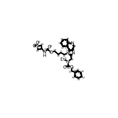 CCN(Cc1nc2cnc3ccccc3c2n1CCCCOC(=O)NC1CS(=O)(=O)C1)C(=O)OCc1ccccc1